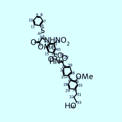 COC(=O)[C@H](CSc1ccccc1)Nc1ccc(S(=O)(=O)NC(=O)c2ccc(-c3ccc(CCCO)cc3OC)cc2)cc1[N+](=O)[O-]